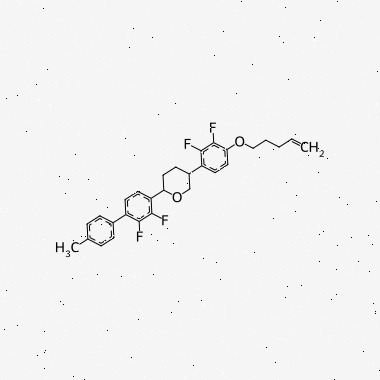 C=CCCCOc1ccc(C2CCC(c3ccc(-c4ccc(C)cc4)c(F)c3F)OC2)c(F)c1F